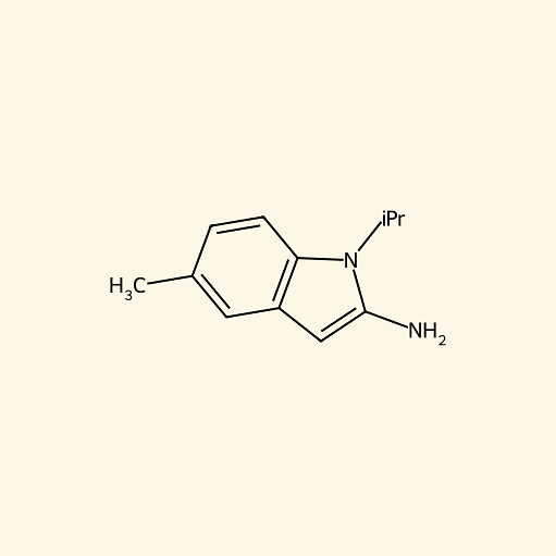 Cc1ccc2c(c1)cc(N)n2C(C)C